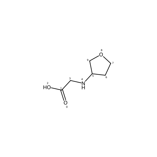 O=C(O)CNC1CCOC1